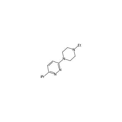 CCN1CCN(c2ccc(C(C)C)nn2)CC1